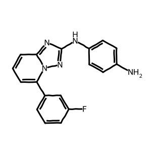 Nc1ccc(Nc2nc3cccc(-c4cccc(F)c4)n3n2)cc1